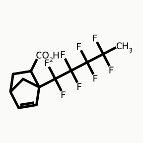 CC(F)(F)C(F)(F)C(F)(F)C(F)(F)C12C=CC(CC1C(=O)O)C2